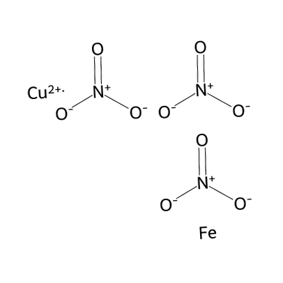 O=[N+]([O-])[O-].O=[N+]([O-])[O-].O=[N+]([O-])[O-].[Cu+2].[Fe]